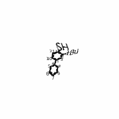 CC(C)(C)c1cc(-c2ccccc2)ccc1S